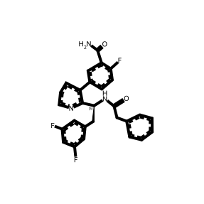 NC(=O)c1cc(-c2cccnc2[C@H](Cc2cc(F)cc(F)c2)NC(=O)Cc2ccccc2)ccc1F